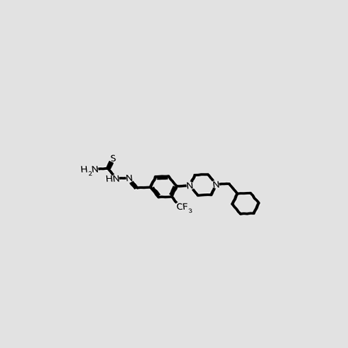 NC(=S)N/N=C/c1ccc(N2CCN(CC3CCCCC3)CC2)c(C(F)(F)F)c1